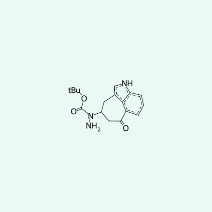 CC(C)(C)OC(=O)N(N)C1CC(=O)c2cccc3[nH]cc(c23)C1